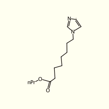 CCCOC(=O)CCCCCCCn1c[c]nc1